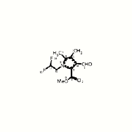 COC(=O)c1c(C=O)c(C)c(C)n1CC(F)F